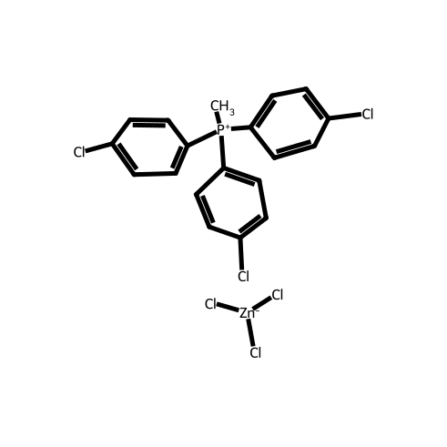 C[P+](c1ccc(Cl)cc1)(c1ccc(Cl)cc1)c1ccc(Cl)cc1.[Cl][Zn-]([Cl])[Cl]